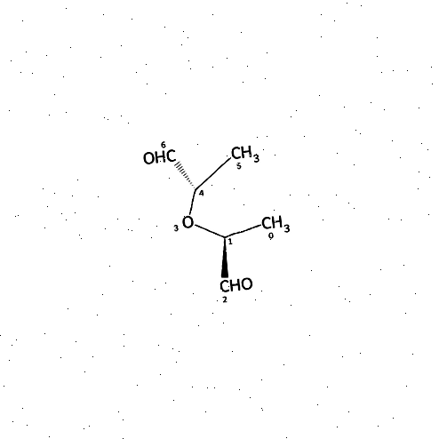 C[C@@H](C=O)O[C@@H](C)C=O